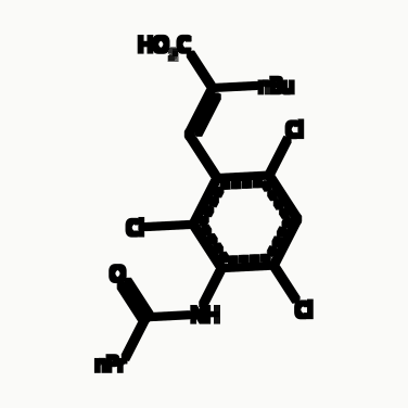 CCCC/C(=C\c1c(Cl)cc(Cl)c(NC(=O)CCC)c1Cl)C(=O)O